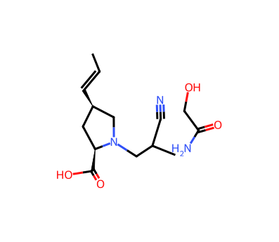 CC=C[C@@H]1C[C@H](C(=O)O)N(CC(C)C#N)C1.NC(=O)CO